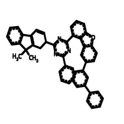 CC1(C)C2=C(C=CC(c3nc(-c4ccccc4)nc(-c4cccc5oc6ccc(-c7cccc(-c8ccccc8)c7)cc6c45)n3)C2)c2ccccc21